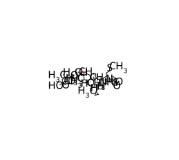 CSCC[C@H](CN[C@]12CC[C@@H](C3(C)CC3)[C@@H]1[C@H]1CC[C@@H]3[C@@]4(C)CC[C@H](OC(=O)CC(C)(C)CC(=O)O)C(C)(C)[C@@H]4CC[C@@]3(C)[C@]1(C)CC2)N1CCS(=O)(=O)CC1